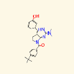 CN(C)C(=N)/N=C1\C(=C\C2C=C(O)C=CC2)CCN1C(=O)c1ccc(C(C)(C)C)cc1